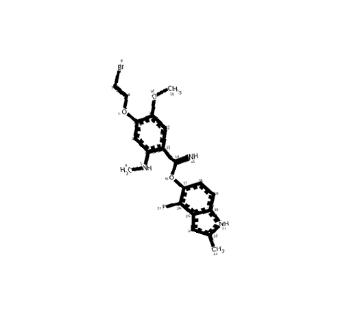 CNc1cc(OCCBr)c(OC)cc1C(=N)Oc1ccc2[nH]c(C)cc2c1F